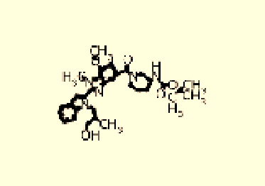 COc1cc(C(=O)N2CCCC(NC(=O)OC(C)(C)C)C2)cc2nc(-c3cc4ccccc4n3CC(C)CO)n(C)c12